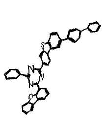 c1ccc(-c2ccc(-c3ccc4sc5cc(-c6nc(-c7ccccc7)nc(-c7cccc8c7oc7ccccc78)n6)ccc5c4c3)cc2)cc1